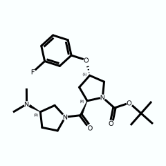 CN(C)[C@@H]1CCN(C(=O)[C@H]2C[C@H](Oc3cccc(F)c3)CN2C(=O)OC(C)(C)C)C1